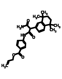 C=CCOC(=O)c1ccc(NC(=O)C(C(N)=O)c2ccc3c(c2)C(C)(C)CCC3(C)C)cc1